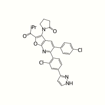 CC(C)C(=O)c1oc2nc(-c3ccc(-c4cc[nH]n4)cc3Cl)c(-c3ccc(Cl)cc3)cc2c1N1CCCC1=O